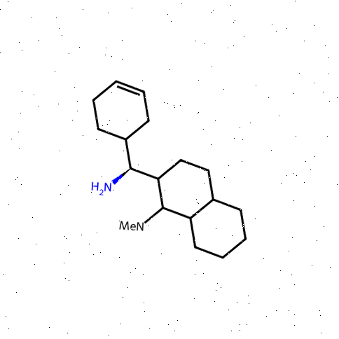 CNC1C2CCCCC2CCC1[C@@H](N)C1CC=CCC1